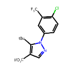 CC(C)(C)c1c(C(=O)O)cnn1-c1ccc(Cl)c(C(F)(F)F)c1